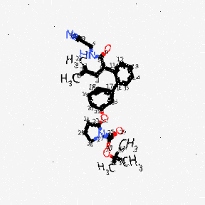 CC(C)CC(C(=O)NCC#N)c1ccccc1-c1cccc(OC2CCCN2C(=O)OC(C)(C)C)c1